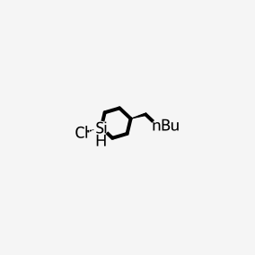 CCCCC[C@H]1CC[Si@H](Cl)CC1